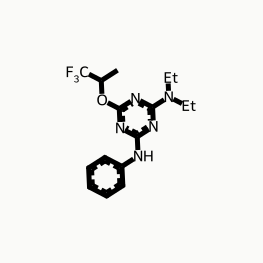 CCN(CC)c1nc(Nc2ccccc2)nc(OC(C)C(F)(F)F)n1